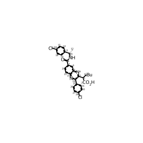 CCC(C)C(C(=O)O)c1nc2cc(C(=O)N[C@@H](C)c3ccc(Cl)cc3)ccc2nc1-c1ccc(Cl)cc1